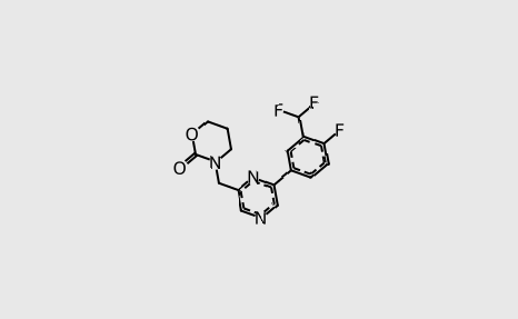 O=C1OCCCN1Cc1cncc(-c2ccc(F)c(C(F)F)c2)n1